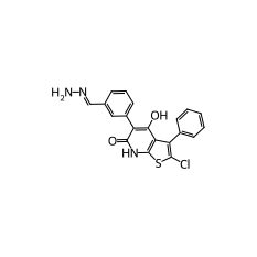 NN=Cc1cccc(-c2c(O)c3c(-c4ccccc4)c(Cl)sc3[nH]c2=O)c1